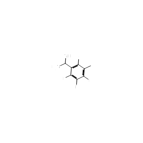 Cc1c(F)c(F)c(F)c(C(N)N)c1F